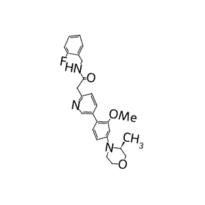 COc1cc(N2CCOC[C@@H]2C)ccc1-c1ccc(CC(=O)NCc2ccccc2F)nc1